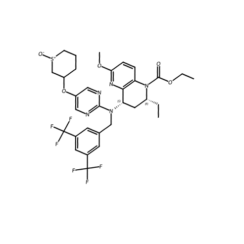 CCOC(=O)N1c2ccc(OC)nc2[C@@H](N(Cc2cc(C(F)(F)F)cc(C(F)(F)F)c2)c2ncc(OC3CCC[S+]([O-])C3)cn2)C[C@H]1CC